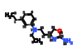 CCc1cccc(N(CC)CC[C@H]2COC(N)=N2)c1